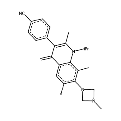 C=C1C(c2ccc(C#N)cc2)=C(C)N(C(C)C)c2c1cc(F)c(N1CN(C)C1)c2C